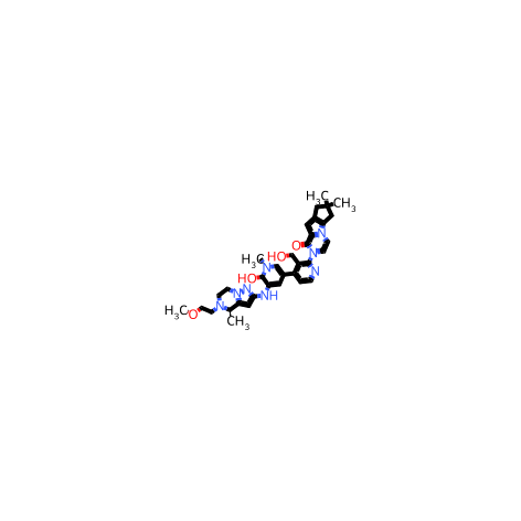 COCCN1CCn2nc(NC3=CC(c4ccnc(-n5ccn6c7c(cc6c5=O)CC(C)(C)C7)c4CO)=CN(C)C3O)cc2[C@@H]1C